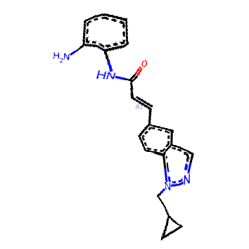 Nc1ccccc1NC(=O)/C=C/c1ccc2c(cnn2CC2CC2)c1